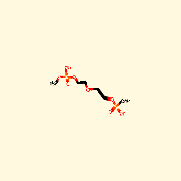 CCCCOP(=O)(O)OCCOCCOP(=O)(O)OC